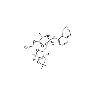 CC(NP(=O)(OCC1O[C@@H](C)[C@@H]2OC(C)(C)O[C@H]12)Oc1cccc2ccccc12)C(=O)OCC(C)(C)C